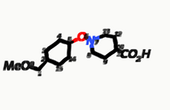 COC[C@H]1CC[C@@H](ON2CCC(C(=O)O)CC2)CC1